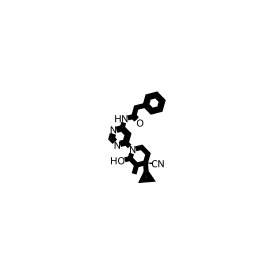 CC1C(O)N(c2cc(NC(=O)Cc3ccccc3)ncn2)CC[C@@]1(C#N)C1CC1